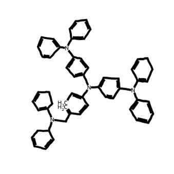 C=C(/C=C\C(=C/C)N(c1ccc(N(C2=CCCC=C2)c2ccccc2)cc1)c1ccc(N(c2ccccc2)c2ccccc2)cc1)CN(C1=CC=CCC1)C1C=CC=CC1